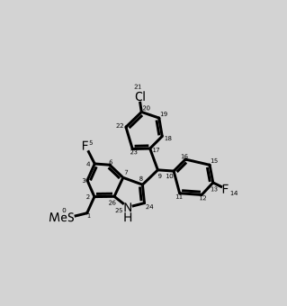 CSCc1cc(F)cc2c(C(c3ccc(F)cc3)c3ccc(Cl)cc3)c[nH]c12